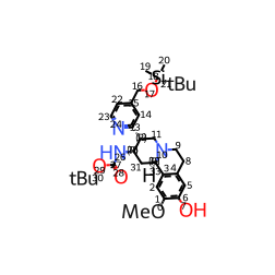 COc1cc2c(cc1O)CCN1C[C@@H](c3cc(CO[Si](C)(C)C(C)(C)C)ccn3)[C@H](NC(=O)OC(C)(C)C)C[C@H]21